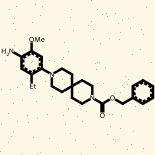 CCc1cc(N)c(OC)cc1N1CCC2(CCN(C(=O)OCc3ccccc3)CC2)CC1